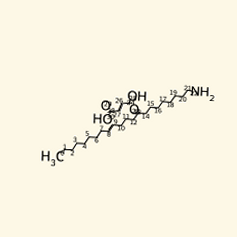 CCCCCCCCC=CCCCCCCCCCCCCN.O=C(O)C=CC(=O)O